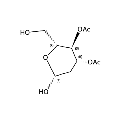 CC(=O)O[C@H]1[C@H](OC(C)=O)C[C@H](O)O[C@@H]1CO